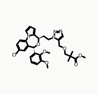 COC(=O)C(C)(C)COCc1cnnn1CC[C@H]1O[C@H](c2cccc(OC)c2OC)c2cc(Cl)ccc2-n2cccc21